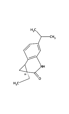 CC[C@]12CC1c1ccc(C(C)C)cc1NC2=O